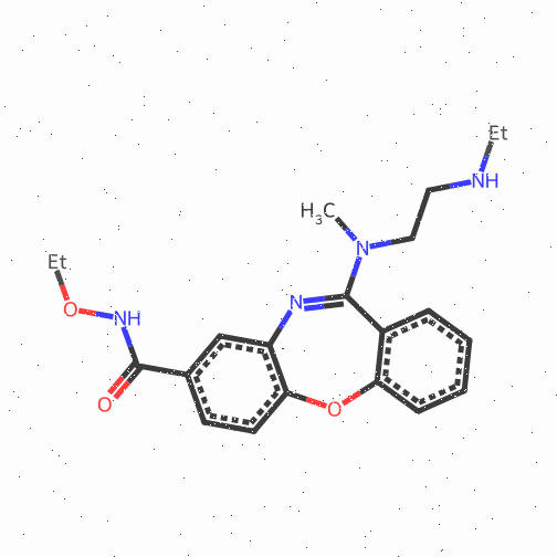 CCNCCN(C)C1=Nc2cc(C(=O)NOCC)ccc2Oc2ccccc21